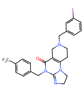 O=C1C2=C(CCN(Cc3cccc(I)c3)C2)N2CCN=C2N1Cc1ccc(C(F)(F)F)cc1